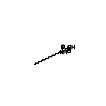 CCCCCCCCCCCCCCCCNC(C=O)CCC(=O)O